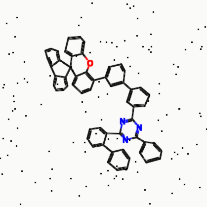 c1ccc(-c2nc(-c3cccc(-c4cccc(-c5cccc6c5Oc5ccccc5C65c6ccccc6-c6ccccc65)c4)c3)nc(-c3ccccc3-c3ccccc3)n2)cc1